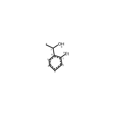 CCc1ccccc1C(C)O